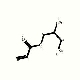 C=CC(=O)OCC(CCC)CC(C)CC